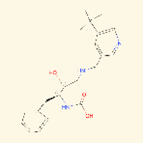 CC(C)(C)c1cncc(CNC[C@@H](O)[C@H](Cc2ccccc2)NC(=O)O)c1